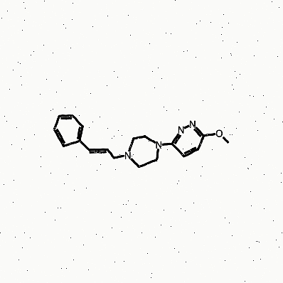 COc1ccc(N2CCN(C/C=C/c3ccccc3)CC2)nn1